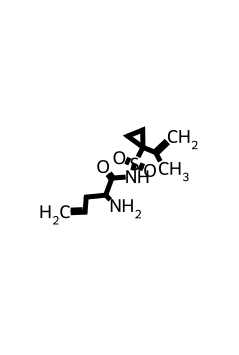 C=CCC(N)C(=O)NS(=O)(=O)C1(C(=C)C)CC1